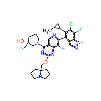 C[C@H]1C[C@H]1c1c(Cl)c(F)c2[nH]ncc2c1-c1ncc2c(N3CCC[C@](O)(CF)C3)nc(OC[C@@]34CCCN3C[C@H](F)C4)nc2c1F